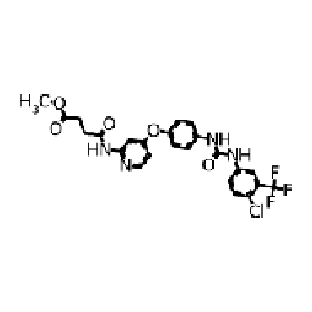 COC(=O)CCC(=O)Nc1cc(Oc2ccc(NC(=O)Nc3ccc(Cl)c(C(F)(F)F)c3)cc2)ccn1